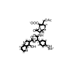 CC(=O)OCC1=C(C(=O)[O-])N2C(=O)[C@@H](NC(=O)C(NC(=O)c3cnc4cccnc4c3O)c3ccc(O)cc3)[C@H]2SC1.[Na+]